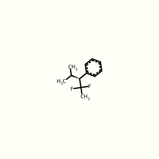 CC(C)[C@@H](c1ccccc1)C(C)(F)F